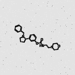 O=C(NCCN1CCOCC1)Oc1cccc(C2CCCN2Cc2ccccc2)c1